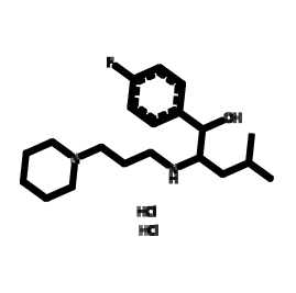 CC(C)CC(NCCCN1CCCCC1)C(O)c1ccc(F)cc1.Cl.Cl